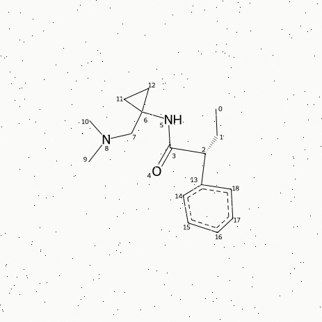 CC[C@@H](C(=O)NC1(CN(C)C)CC1)c1ccccc1